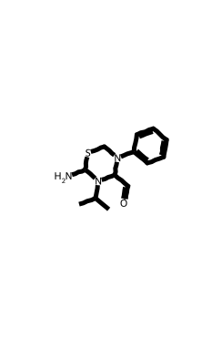 CC(C)N1C(N)SCN(c2ccccc2)C1C=O